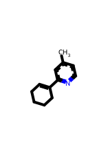 Cc1ccnc(C2=CCCCC2)c1